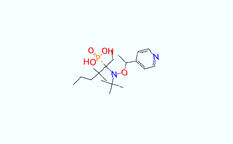 CCCC(C)(C)C(CC)(N(OC(C)c1ccncc1)C(C)(C)C)P(=O)(O)O